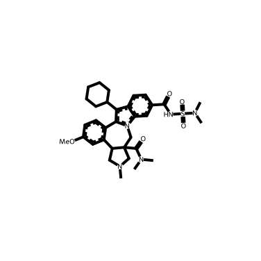 COc1ccc2c(c1)C1CN(C)CC1(C(=O)N(C)C)Cn1c-2c(C2CCCCC2)c2ccc(C(=O)NS(=O)(=O)N(C)C)cc21